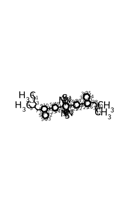 CCCCC(CC)Cc1ccc(-c2ccc(-c3c4c(c(-c5ccc(-c6ccc(CC(C)CC)c7ccccc67)cc5)c5nsnc35)N=S=N4)cc2)c2ccccc12